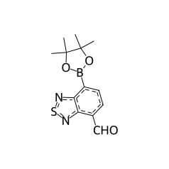 CC1(C)OB(c2ccc(C=O)c3nsnc23)OC1(C)C